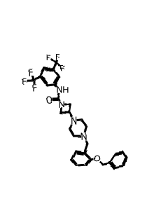 O=C(Nc1cc(C(F)(F)F)cc(C(F)(F)F)c1)N1CC(N2CCN(Cc3ccccc3OCc3ccccc3)CC2)C1